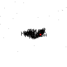 C[C@H](NC(=O)[C@H](C)NC(=O)[C@H](Cc1cnc[nH]1)NC(=O)OC(C)(C)C)C(=O)Nc1cccc(Cc2ccc([C@@H]3O[C@@H]4C[C@H]5[C@@H]6C[C@H](F)C7=CC(=O)C=C[C@]7(C)[C@@]6(F)[C@@H](O)C[C@]5(C)[C@]4(C(=O)CO)O3)cc2)c1